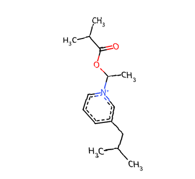 CC(C)Cc1ccc[n+](C(C)OC(=O)C(C)C)c1